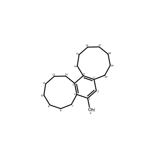 Oc1cc2c(c3c1CCCCCCC3)CCCCCCC2